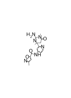 Cc1cc(C(=O)Nc2ccnc(C3(C)CC(=O)N(C)C(N)=N3)c2)on1